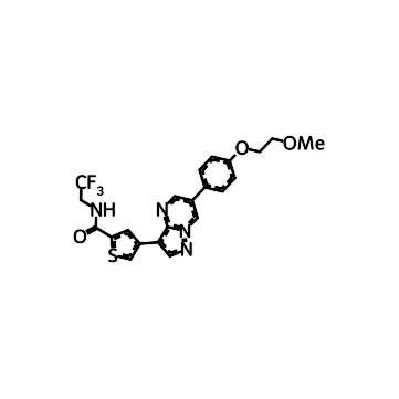 COCCOc1ccc(-c2cnc3c(-c4csc(C(=O)NCC(F)(F)F)c4)cnn3c2)cc1